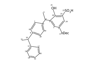 CCCCCCCCCCc1cc(C(C)c2ccc(C(C)c3ccccc3)cc2)c(O)c(S(=O)(=O)O)c1